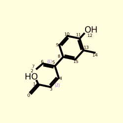 C=C(O)/C=C\C(=C/C)c1ccc(O)c(C)c1